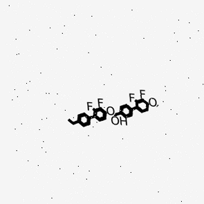 CCc1ccc(-c2ccc(OC(O)c3ccc(C4=CCC(OC)C(F)=C4F)cc3)c(F)c2F)cc1